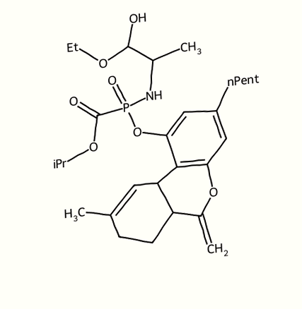 C=C1Oc2cc(CCCCC)cc(OP(=O)(NC(C)C(O)OCC)C(=O)OC(C)C)c2C2C=C(C)CCC12